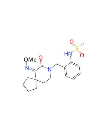 CO/N=C1\C(=O)N(Cc2ccccc2NS(C)(=O)=O)CCC12CCCC2